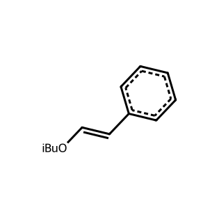 CC(C)COC=Cc1ccccc1